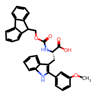 COc1cccc(-c2[nH]c3ccccc3c2C[C@H](NC(=O)OCC2c3ccccc3-c3ccccc32)C(=O)O)c1